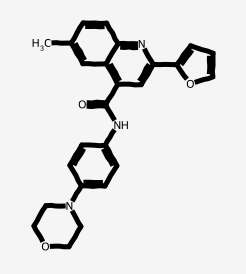 Cc1ccc2nc(-c3ccco3)cc(C(=O)Nc3ccc(N4CCOCC4)cc3)c2c1